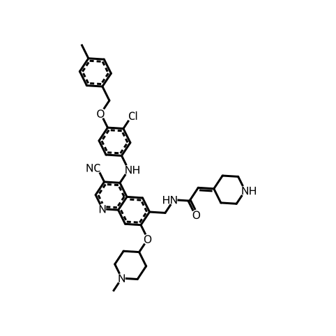 Cc1ccc(COc2ccc(Nc3c(C#N)cnc4cc(OC5CCN(C)CC5)c(CNC(=O)C=C5CCNCC5)cc34)cc2Cl)cc1